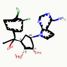 CC(O)(c1ccc(Cl)c(Cl)c1)[C@H]1C[C@@H](n2ccc3c(N)ncnc32)[C@H](O)[C@@H]1O